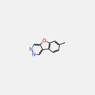 Cc1ccc2c(c1)oc1cnncc12